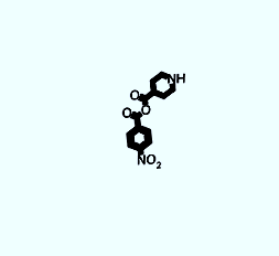 O=C(OC(=O)C1CCNCC1)c1ccc([N+](=O)[O-])cc1